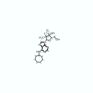 C[C@]1(F)[C@H](n2cnc3c(NC4CCCCCC4)ncnc32)O[C@H](CO)[C@@]1(C)O